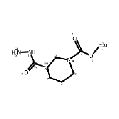 CC(C)(C)OC(=O)N1CCC[C@@H](C(=O)NN)C1